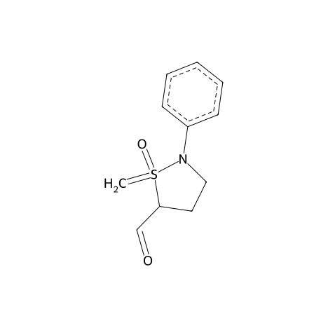 C=S1(=O)C(C=O)CCN1c1ccccc1